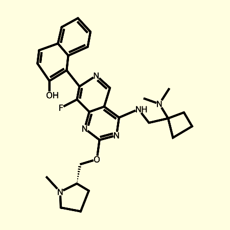 CN1CCC[C@H]1COc1nc(NCC2(N(C)C)CCC2)c2cnc(-c3c(O)ccc4ccccc34)c(F)c2n1